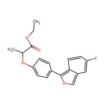 CCOC(=O)C(C)Oc1ccc(-c2occ3cc(F)ccc23)cc1